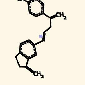 C=C(C/C=C/c1ccc2c(c1)C(=C)CC2)c1ccc(Cl)cc1